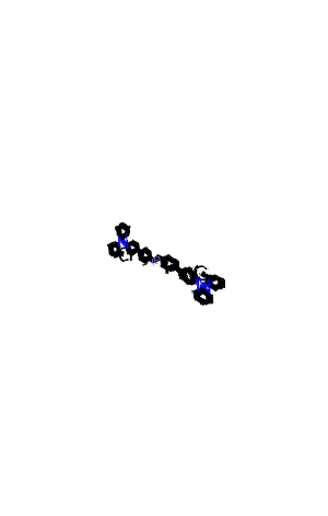 Cc1ccccc1N(c1ccccc1)c1ccc(-c2ccc(/C=C/c3ccc(-c4ccc(N(c5ccccc5)c5ccccc5C)cc4)cc3)cc2)cc1